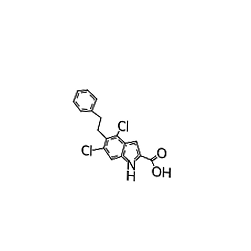 O=C(O)c1cc2c(Cl)c(CCc3ccccc3)c(Cl)cc2[nH]1